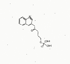 O=C(CCCOP(=O)(O)O)Cc1cnc2ccccc2c1